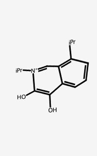 CC(C)c1cccc2c(O)c(O)[n+](C(C)C)cc12